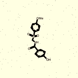 COc1ccc(S(=O)(=O)CNC(=O)c2ccc(O)cc2)cc1